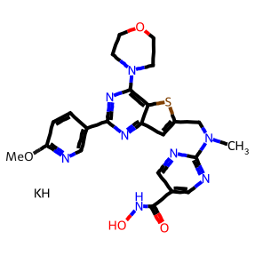 COc1ccc(-c2nc(N3CCOCC3)c3sc(CN(C)c4ncc(C(=O)NO)cn4)cc3n2)cn1.[KH]